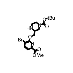 COC(=O)c1ccc(Br)c(OCC2CN(C(=O)OC(C)(C)C)CCN2)n1